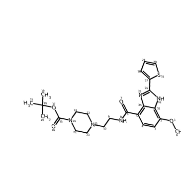 COc1ccc(C(=O)NCCN2CCN(C(=O)OC(C)(C)C)CC2)c2nc(-c3cccs3)[nH]c12